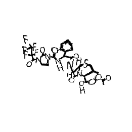 CC(=O)OCC1=C(C(=O)O)N2C(=O)C(NC(=O)C(NC(=O)N3CCN(C(=O)C(F)(F)C(F)(F)F)C3=O)c3ccccc3)[C@@H]2SC1